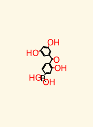 O=C(c1cc(O)cc(O)c1)c1ccc(B(O)O)cc1O